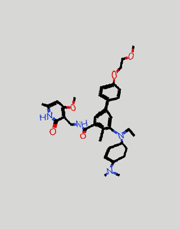 CCN(c1cc(-c2ccc(OCCOC)cc2)cc(C(=O)NCc2c(OC)cc(C)[nH]c2=O)c1C)C1CCC(N(C)C)CC1